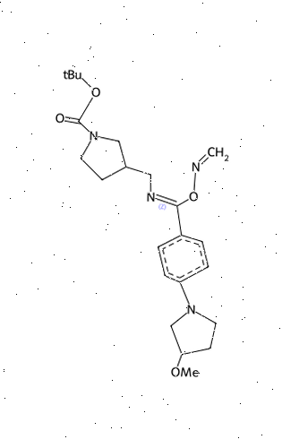 C=NO/C(=N\CC1CCN(C(=O)OC(C)(C)C)C1)c1ccc(N2CCC(OC)C2)cc1